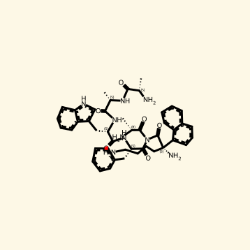 C[C@H](N)C(=O)N[C@@H](C)C(=O)N[C@@H](Cc1c[nH]c2ccccc12)C(=O)N[C@@H](Cc1ccccc1)C(=O)N(C(=O)[C@@H](C)N)C(=O)[C@](N)(CCCCN)c1cccc2ccccc12